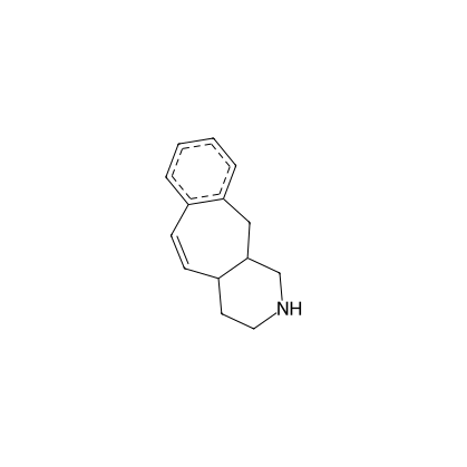 C1=CC2CCNCC2Cc2ccccc21